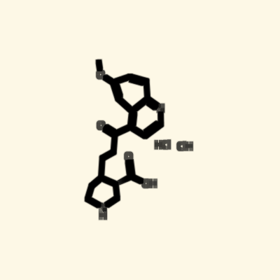 COc1ccc2nccc(C(=O)CCC3CCNC[C@@H]3C(=O)O)c2c1.Cl.Cl